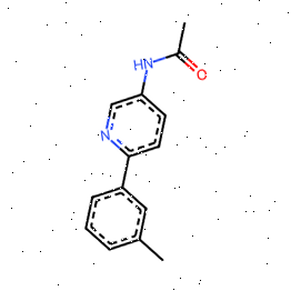 CC(=O)Nc1ccc(-c2cccc(C)c2)nc1